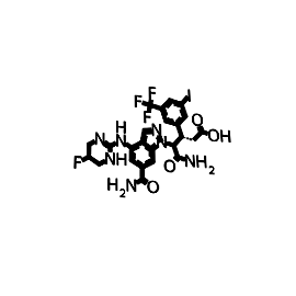 NC(=O)c1cc(NC2=NCC(F)CN2)c2cnn(C(C(N)=O)[C@@H](CC(=O)O)c3cc(I)cc(C(F)(F)F)c3)c2c1